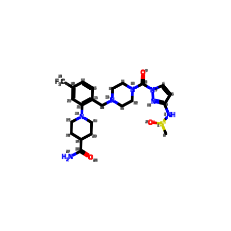 C[S+]([O-])Nc1ccn(C(=O)N2CCN(Cc3ccc(C(F)(F)F)cc3N3CCC(C(N)=O)CC3)CC2)n1